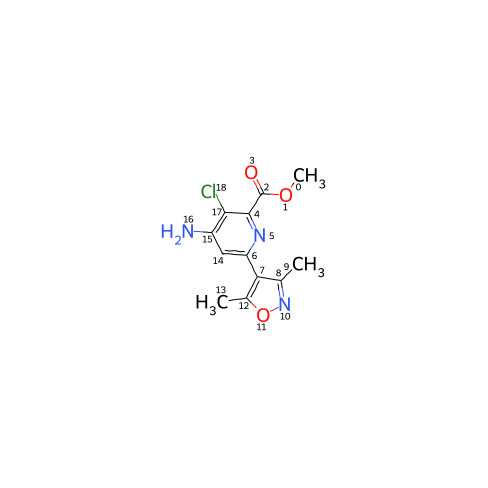 COC(=O)c1nc(-c2c(C)noc2C)cc(N)c1Cl